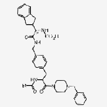 CCC(=O)NC(Cc1ccc(CNC(=O)[C@@H](NC(=O)O)C2Cc3ccccc3C2)cc1)C(=O)N1CCN(Cc2ccccc2)CC1